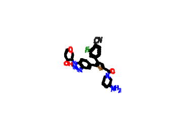 N#Cc1ccc(-c2cc(C(=O)N3CCCC(N)C3)sc2-c2ccc3c(c2)nnn3C2COCCC2O)cc1F